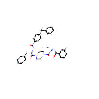 CC(=O)c1cccc(C(=O)N[C@@H](CC(C)C)C(=O)N2CCN(C(=O)[C@H](Cc3ccccc3)NC(=O)c3ccc(C(=O)c4ccccc4)cc3)CC2)c1